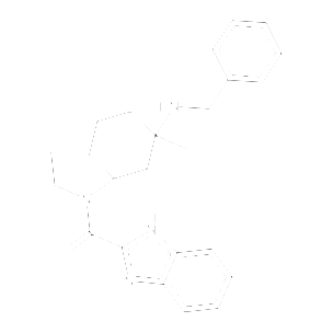 CCN(C(=O)c1nc2ccccc2[nH]1)[C@@]1(C)CCCC(C)(NCc2ccccc2)C1